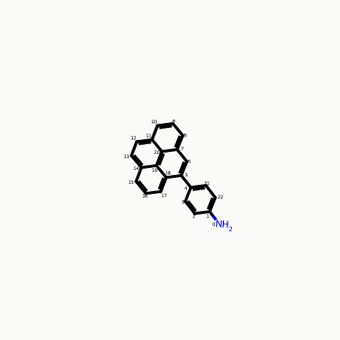 Nc1ccc(-c2cc3cccc4ccc5cccc2c5c43)cc1